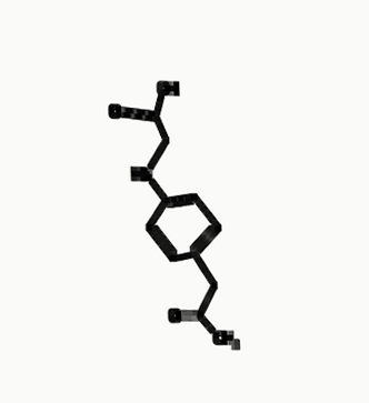 CC(=O)Cc1ccc(NCC(=O)O)cc1